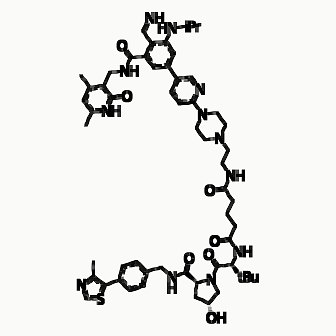 Cc1cc(C)c(CNC(=O)c2cc(-c3ccc(N4CCN(CCNC(=O)CCCC(=O)N[C@H](C(=O)N5C[C@H](O)C[C@H]5C(=O)NCc5ccc(-c6scnc6C)cc5)C(C)(C)C)CC4)nc3)cc(NC(C)C)c2C=N)c(=O)[nH]1